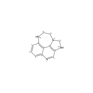 c1cc2c3c4c(cnc3c1)NCN4CCN2